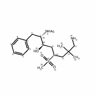 CC(=O)N[C@@H](Cc1ccccc1)[C@H](O)CN(CC(C)(C)CN)S(C)(=O)=O